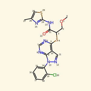 COCC(Sc1ncnc2c1cnn2-c1ccccc1Cl)C(=O)Nc1nc(C)cs1